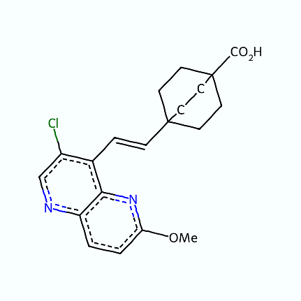 COc1ccc2ncc(Cl)c(C=CC34CCC(C(=O)O)(CC3)CC4)c2n1